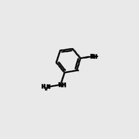 [NH]c1[c]c(NN)ccc1